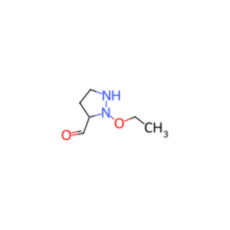 CCON1NCCC1C=O